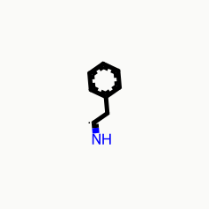 N=[C]Cc1ccccc1